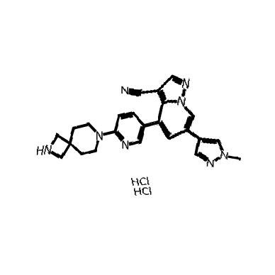 Cl.Cl.Cn1cc(-c2cc(-c3ccc(N4CCC5(CC4)CNC5)nc3)c3c(C#N)cnn3c2)cn1